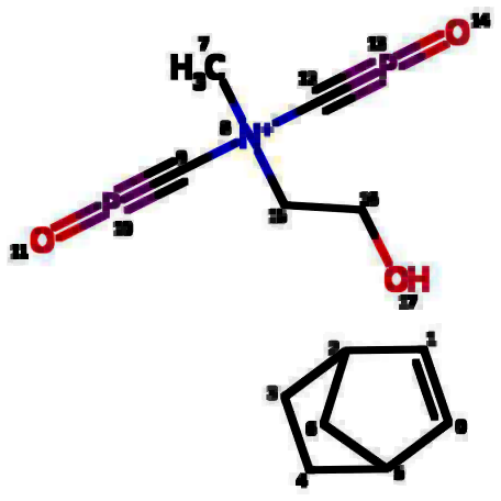 C1=CC2CCC1C2.C[N+](C#P=O)(C#P=O)CCO